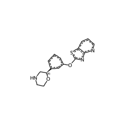 c1cc(Oc2nc3ncccc3s2)cc([C@@H]2CNCCO2)c1